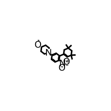 COC1CCN(c2ccc([N+](=O)[O-])c(C3=CC(C)(C)CC(C)(C)C3)c2)CC1